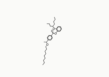 CCCCCCCCCOC(C)c1ccc(C(=O)Oc2ccccc2OC(CCC)CCCC)cc1